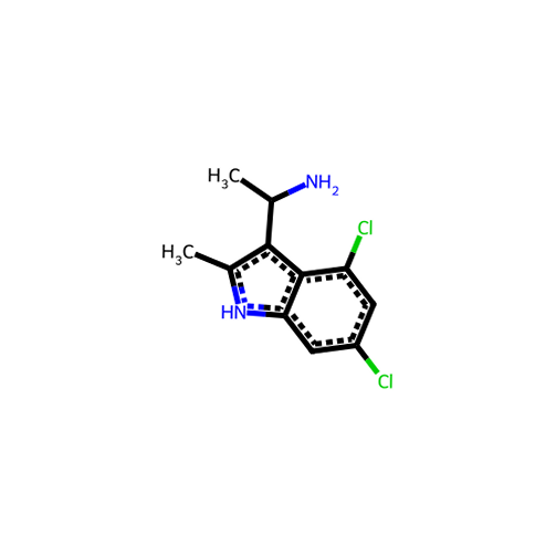 Cc1[nH]c2cc(Cl)cc(Cl)c2c1C(C)N